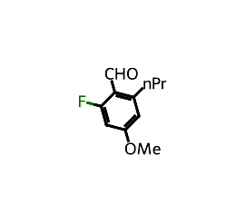 CCCc1cc(OC)cc(F)c1C=O